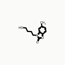 Cc1ccc2oc(=O)n(CCCCO)c2c1